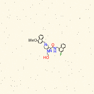 COc1ccc(CN2CCc3c(c(C(=O)NCc4cc(F)cc5ccccc45)nn3CCO)C2)c2ccccc12